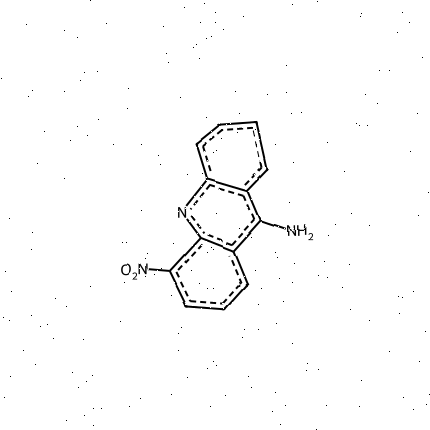 Nc1c2ccccc2nc2c([N+](=O)[O-])cccc12